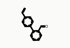 C=Cc1ccc(-c2ccccc2C=O)cc1